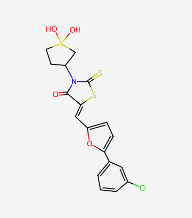 O=C1C(=Cc2ccc(-c3cccc(Cl)c3)o2)SC(=S)N1C1CCS(O)(O)C1